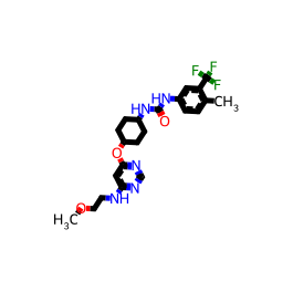 COCCNc1cc(OC2CCC(NC(=O)Nc3ccc(C)c(C(F)(F)F)c3)CC2)ncn1